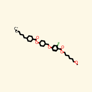 [CH2+][CH-]CCCCC1CCC(C(=O)OC2CCC(COc3ccc(C(=O)OCCCCCCOC)c(F)c3)CC2)CC1